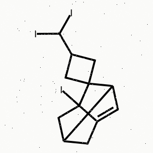 IC(I)C1CC2(C1)C1C=C3CC1CC32I